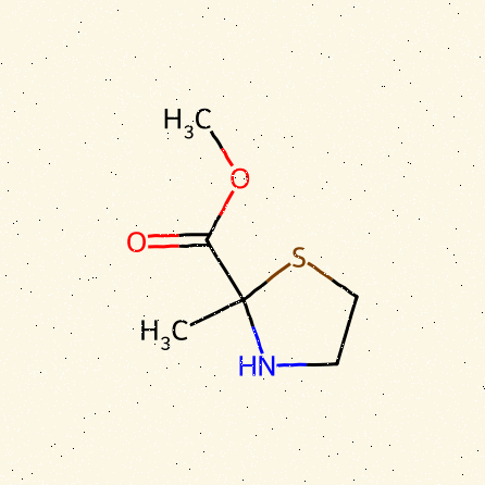 COC(=O)C1(C)NCCS1